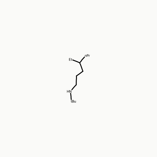 CCCC(CC)CCCNC(C)(C)C